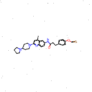 Cc1cc(N2CCC(N3CCCC3)CC2)nc2ccc(NC(=O)CCc3ccc(OC=S)cc3)cc12